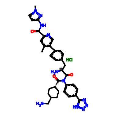 Cc1cc(C(=O)Nc2ccn(C)n2)ncc1-c1ccc(C[C@H](N)C(=O)N(c2ccc(-c3nnn[nH]3)cc2)C(=O)[C@H]2CC[C@H](CN)CC2)cc1.Cl